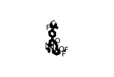 Cc1cnc2cc(C3CCC(c4c(C)cccc4F)CC3)c(=O)n(Cc3ncccc3OC(F)F)c2n1